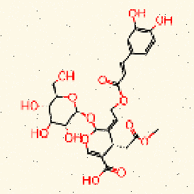 COC(=O)C[C@@H]1C(C(=O)O)=CO[C@@H](O[C@@H]2O[C@H](CO)[C@@H](O)[C@H](O)[C@H]2O)/C1=C\COC(=O)/C=C/c1ccc(O)c(O)c1